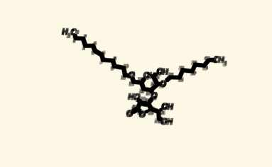 CCCCCCCCCCCCOCC(O)CC(OC1=C(O)C(=O)O[C@@H]1[C@@H](O)CO)C(CO)OCCCCCCCC